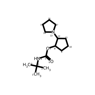 CC(C)(C)NC(=O)OC1CCCC1N1CCCC1